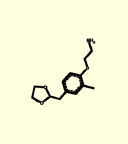 Cc1cc(CC2OCCO2)ccc1OCCN